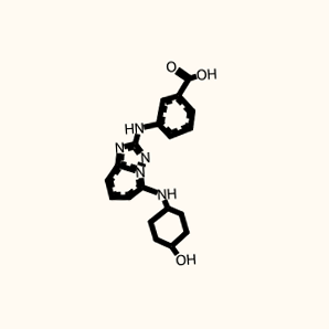 O=C(O)c1cccc(Nc2nc3cccc(NC4CCC(O)CC4)n3n2)c1